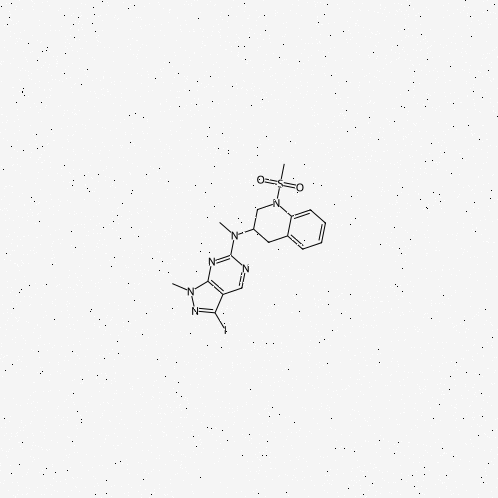 CN(c1ncc2c(I)nn(C)c2n1)C1Cc2ccccc2N(S(C)(=O)=O)C1